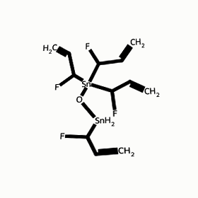 C=C[CH](F)[SnH2][O][Sn]([CH](F)C=C)([CH](F)C=C)[CH](F)C=C